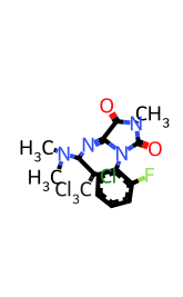 CN1C(=O)/C(=N/C(C(Cl)C(Cl)(Cl)Cl)N(C)C)N(c2ccccc2F)C1=O